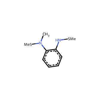 CSNc1ccccc1N(C)SC